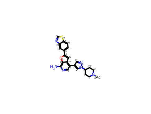 CC(=O)N1CCC(n2cc(-c3cnc(N)c4oc(-c5ccc6scnc6c5)cc34)cn2)CC1